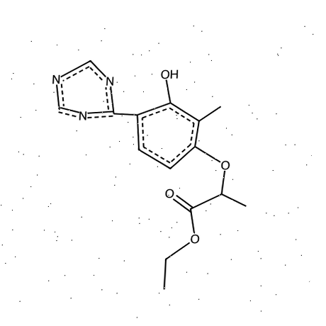 CCOC(=O)C(C)Oc1ccc(-c2ncncn2)c(O)c1C